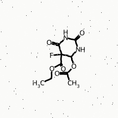 CCOC(=O)C1(F)C(=O)NC(=O)NC1OC(C)=O